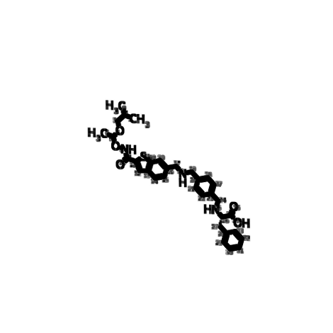 CC(C)COC(C)ONC(=O)c1cc2ccc(CNCc3ccc(CN[C@@H](Cc4ccccc4)C(=O)O)cc3)cc2s1